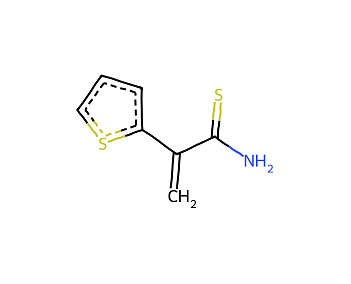 C=C(C(N)=S)c1cccs1